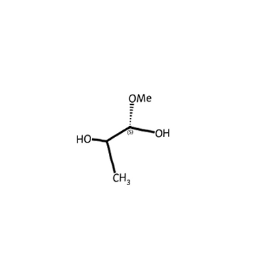 CO[C@H](O)C(C)O